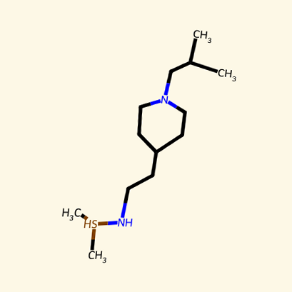 CC(C)CN1CCC(CCN[SH](C)C)CC1